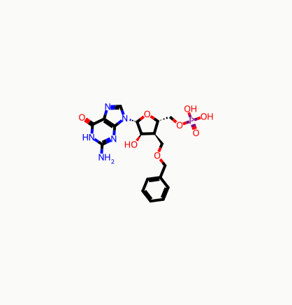 Nc1nc2c(ncn2[C@@H]2O[C@H](COP(=O)(O)O)[C@@H](COCc3ccccc3)[C@H]2O)c(=O)[nH]1